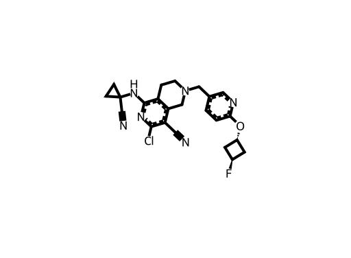 N#Cc1c(Cl)nc(NC2(C#N)CC2)c2c1CN(Cc1ccc(O[C@H]3C[C@H](F)C3)nc1)CC2